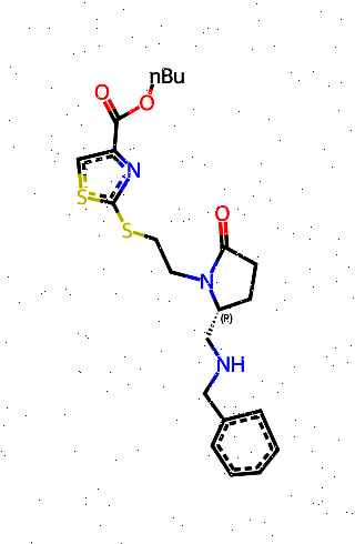 CCCCOC(=O)c1csc(SCCN2C(=O)CC[C@@H]2CNCc2ccccc2)n1